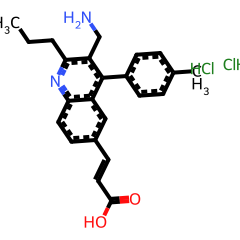 CCCc1nc2ccc(C=CC(=O)O)cc2c(-c2ccc(C)cc2)c1CN.Cl.Cl